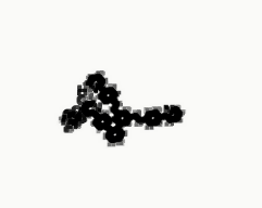 Cc1cnc(-c2ccc(-c3ccccc3-c3cc(CCc4ccc(-c5ccccn5)cc4)cc(CCc4ccc(-c5ccccn5)cc4)c3)cc2)cc1OS(=O)(=O)C(F)(F)F